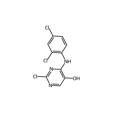 Oc1cnc(Cl)nc1Nc1ccc(Cl)cc1Cl